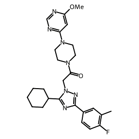 COc1cc(N2CCN(C(=O)Cn3nc(-c4ccc(F)c(C)c4)nc3C3CCCCC3)CC2)ncn1